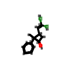 CC1(c2ccccc2)C(=O)CC1C=C(Cl)Cl